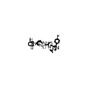 CC(C)n1cnc(-c2ccc(F)cc2)c1-c1nc(C(=O)Nc2ccc(N3C[C@H]4CC[C@@H](C3)N4C)cn2)cs1